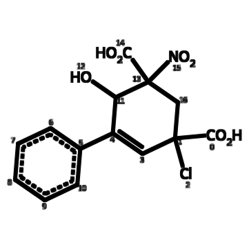 O=C(O)C1(Cl)C=C(c2ccccc2)C(O)C(C(=O)O)([N+](=O)[O-])C1